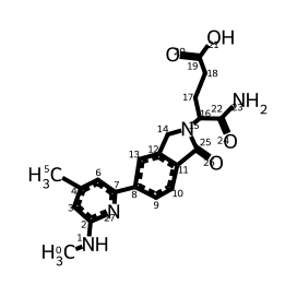 CNc1cc(C)cc(-c2ccc3c(c2)CN(C(CCC(=O)O)C(N)=O)C3=O)n1